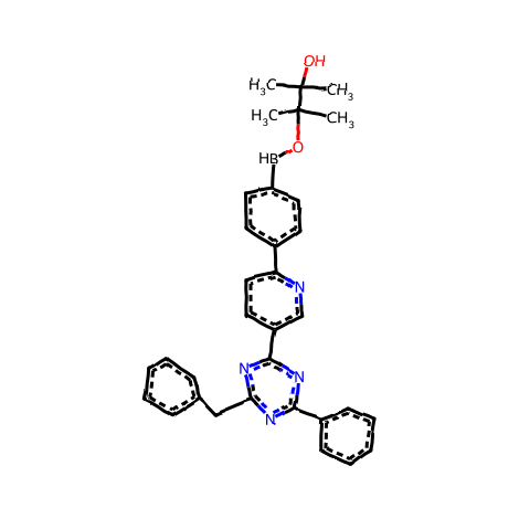 CC(C)(O)C(C)(C)OBc1ccc(-c2ccc(-c3nc(Cc4ccccc4)nc(-c4ccccc4)n3)cn2)cc1